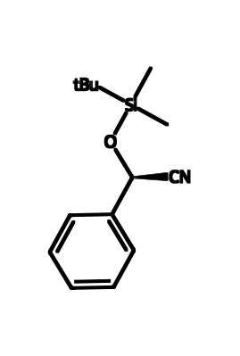 CC(C)(C)[Si](C)(C)O[C@@H](C#N)c1ccccc1